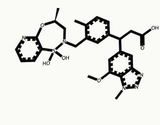 COc1cc(C(CC(=O)O)c2ccc(C)c(CN3C[C@H](C)Oc4ncccc4S3(O)O)c2)cc2nnn(C)c12